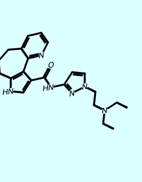 CCN(CC)CCn1ccc(NC(=O)c2c[nH]c3c2-c2ncccc2CCC3)n1